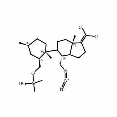 C[C@H]1CC[C@](C)(C2CC[C@]3(C)C(=C(Cl)Cl)CCC3[C@@H]2CN=[N+]=[N-])[C@@H](CO[Si](C)(C)C(C)(C)C)C1